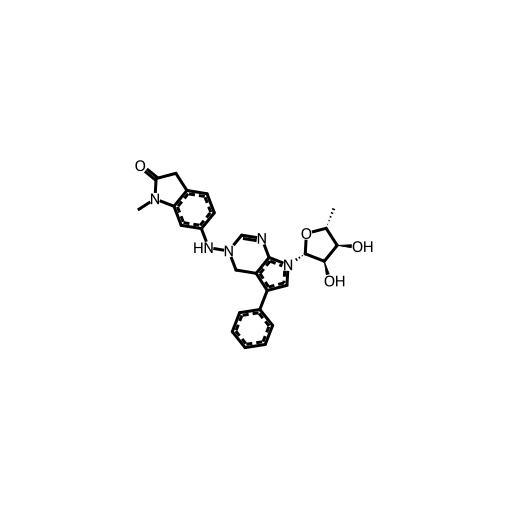 C[C@H]1O[C@@H](n2cc(-c3ccccc3)c3c2N=CN(Nc2ccc4c(c2)N(C)C(=O)C4)C3)[C@H](O)[C@@H]1O